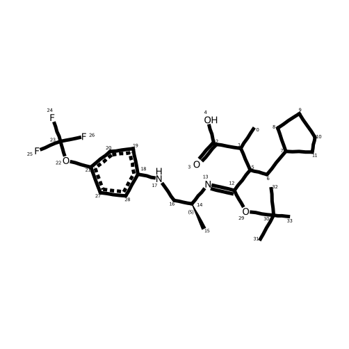 CC(C(=O)O)C(CC1CCCC1)C(=N[C@@H](C)CNc1ccc(OC(F)(F)F)cc1)OC(C)(C)C